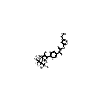 [2H]C([2H])([2H])C([2H])(n1nc(-c2ccc(C(C)C(=O)Nc3cc(CC(C)(C)C)no3)cc2)c(C#N)c1N)C([2H])([2H])[2H]